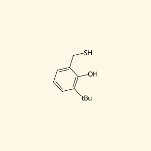 CC(C)(C)c1cccc(CS)c1O